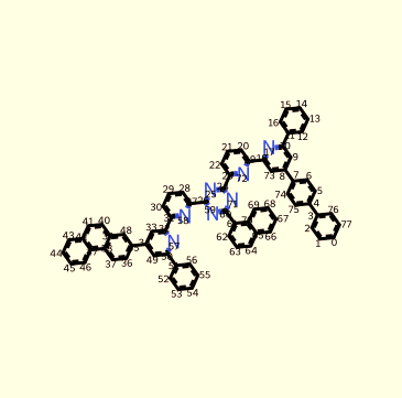 c1ccc(-c2ccc(-c3cc(-c4ccccc4)nc(-c4cccc(-c5nc(-c6cccc(-c7cc(-c8ccc9c(ccc%10ccccc%109)c8)cc(-c8ccccc8)n7)n6)nc(-c6cccc7ccccc67)n5)n4)c3)cc2)cc1